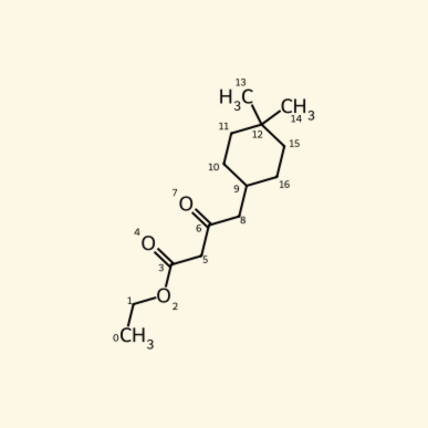 CCOC(=O)CC(=O)CC1CCC(C)(C)CC1